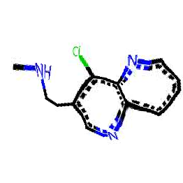 CNCc1cnc2cccnc2c1Cl